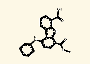 COC(=O)c1ccc(Nc2ccccc2)c2c1oc1c(C(=O)O)cccc12